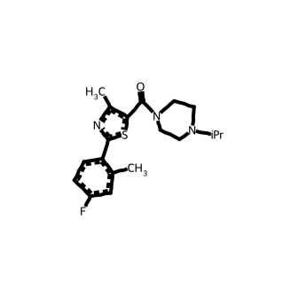 Cc1cc(F)ccc1-c1nc(C)c(C(=O)N2CCN(C(C)C)CC2)s1